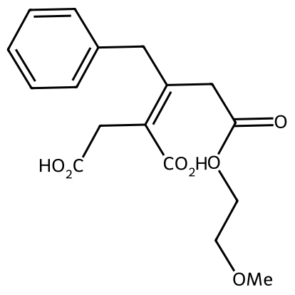 COCCOC(=O)CC(Cc1ccccc1)=C(CC(=O)O)C(=O)O